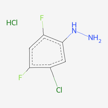 Cl.NNc1cc(Cl)c(F)cc1F